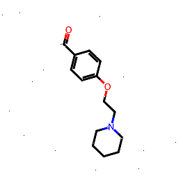 O=[C]c1ccc(OCCN2CCCCC2)cc1